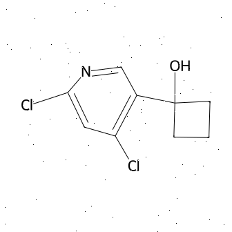 OC1(c2cnc(Cl)cc2Cl)CCC1